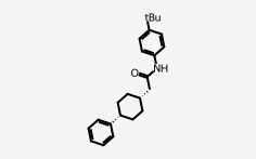 CC(C)(C)c1ccc(NC(=O)C[C@H]2CC[C@@H](c3ccccc3)CC2)cc1